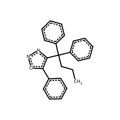 CCCC(c1ccccc1)(c1ccccc1)c1nnoc1-c1ccccc1